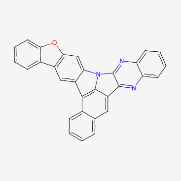 c1ccc2c(c1)cc1c3nc4ccccc4nc3n3c4cc5oc6ccccc6c5cc4c2c13